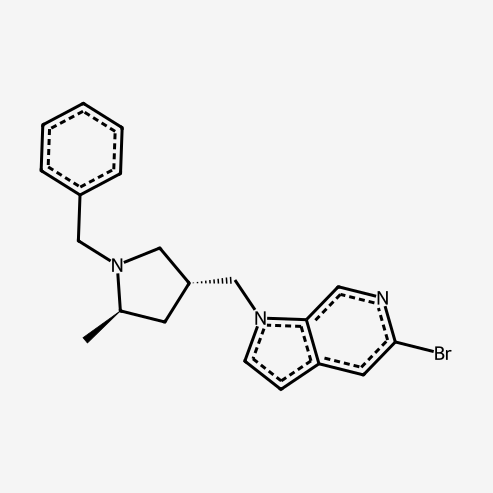 C[C@@H]1C[C@@H](Cn2ccc3cc(Br)ncc32)CN1Cc1ccccc1